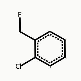 FCc1ccc[c]c1Cl